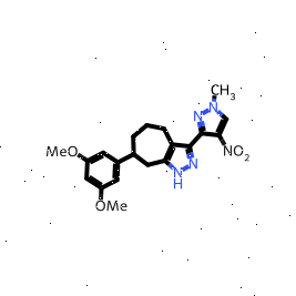 COc1cc(OC)cc(C2CCCc3c(-c4nn(C)cc4[N+](=O)[O-])n[nH]c3C2)c1